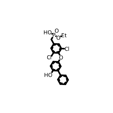 CCOP(=O)(O)Cc1cc(Cl)c(Oc2ccc(O)c(-c3ccccc3)c2)c(Cl)c1